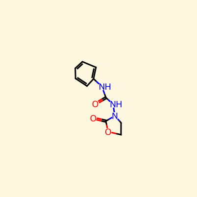 O=C(Nc1ccccc1)NN1CCOC1=O